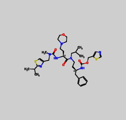 CC(C)CN(CC[C@H](Cc1ccccc1)NC(=O)OCc1cncs1)C(=O)[C@H](CCN1CCOCC1)NC(=O)N(C)Cc1csc(C(C)C)n1